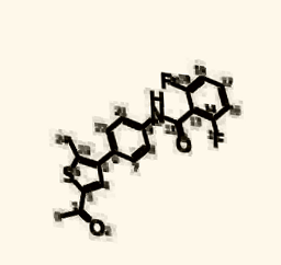 CC(=O)c1cc(-c2ccc(NC(=O)c3c(F)cccc3F)cc2)c(C)s1